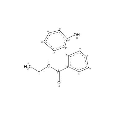 CCOC(=O)c1ccccc1.Oc1ccccc1